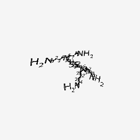 NCCCCN(CCCN)CCSSCCN(CCCN)CCCCN